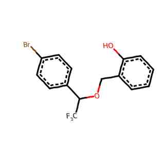 Oc1ccccc1COC(c1ccc(Br)cc1)C(F)(F)F